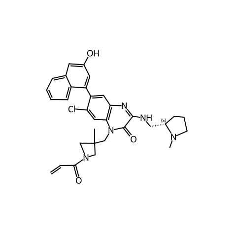 C=CC(=O)N1CC(C)(Cn2c(=O)c(NC[C@@H]3CCCN3C)nc3cc(-c4cc(O)cc5ccccc45)c(Cl)cc32)C1